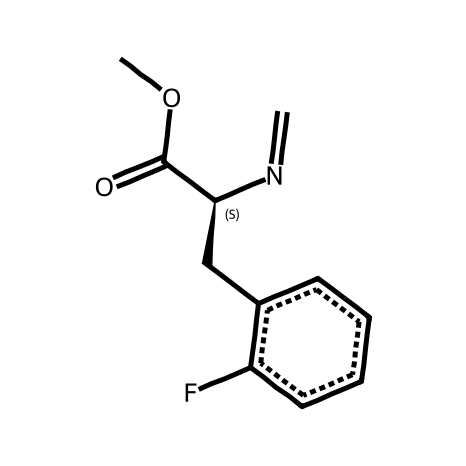 C=N[C@@H](Cc1ccccc1F)C(=O)OC